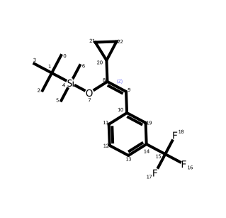 CC(C)(C)[Si](C)(C)O/C(=C\c1cccc(C(F)(F)F)c1)C1CC1